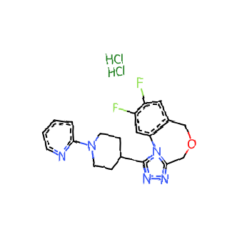 Cl.Cl.Fc1cc2c(cc1F)-n1c(nnc1C1CCN(c3ccccn3)CC1)COC2